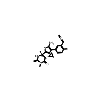 Bc1sc([C@@]2(C)NC(=C)N(C)C(=O)[C@H]2C2CC2)cc1-c1ccc(F)c(C=C=C)c1